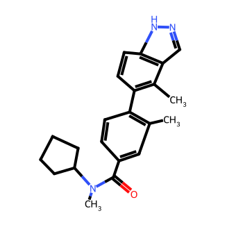 Cc1cc(C(=O)N(C)C2CCCC2)ccc1-c1ccc2[nH]ncc2c1C